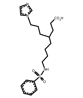 O=C(O)CCC(CCCCNS(=O)(=O)c1ccccc1)CCCn1ccnc1